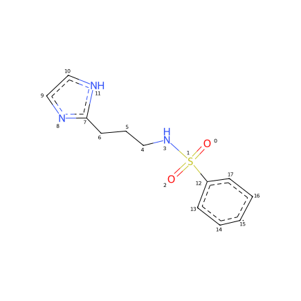 O=S(=O)(NCCCc1ncc[nH]1)c1cc[c]cc1